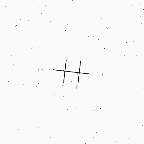 CCCC(CC)(C(=O)O)C(CC)(CCC)C(=O)O